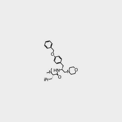 CC(C)C[C@@H](C(=O)N[C@@H](Cc1ccc(OCc2ccccc2)cc1)CN1CCOCC1)N(C)C